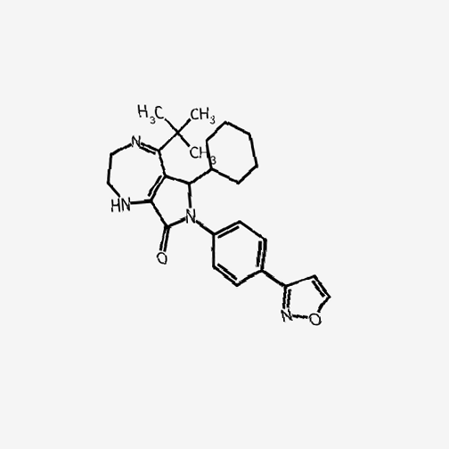 CC(C)(C)C1=NCCNC2=C1C(C1CCCCC1)N(c1ccc(-c3ccon3)cc1)C2=O